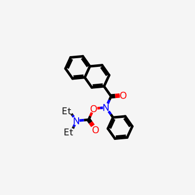 CCN(CC)C(=O)ON(C(=O)c1ccc2ccccc2c1)c1ccccc1